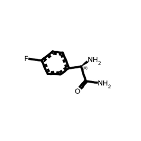 NC(=O)[C@H](N)c1ccc(F)cc1